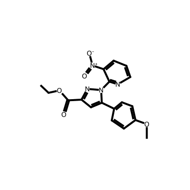 CCOC(=O)c1cc(-c2ccc(OC)cc2)n(-c2ncccc2[N+](=O)[O-])n1